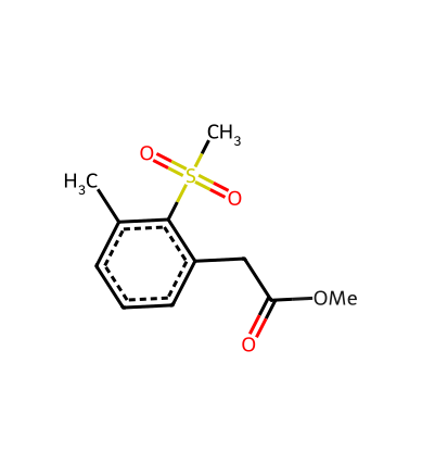 COC(=O)Cc1cccc(C)c1S(C)(=O)=O